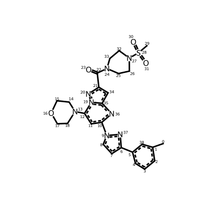 Cc1cccc(-c2ccn(-c3cc(N4CCOCC4)n4nc(C(=O)N5CCN(S(C)(=O)=O)CC5)cc4n3)n2)c1